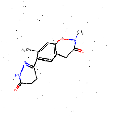 Cc1cc2c(cc1C1=NNC(=O)CC1)CC(=O)N(C)O2